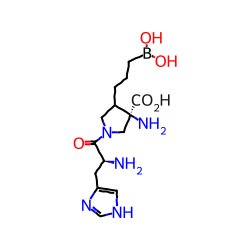 N[C@@H](Cc1c[nH]cn1)C(=O)N1CC(CCCB(O)O)[C@](N)(C(=O)O)C1